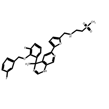 CS(=O)(=O)CCNCc1ccc(-c2cc3c(cn2)NC=NC3(N)c2cccc(F)c2OCc2cccc(F)c2)o1